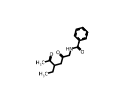 CCC(CC(=O)CNC(=O)c1ccccc1)C(C)=O